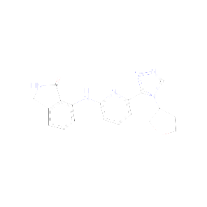 O=C1NCc2cccc(Nc3cccc(-c4nncn4C4CCOC4)n3)c21